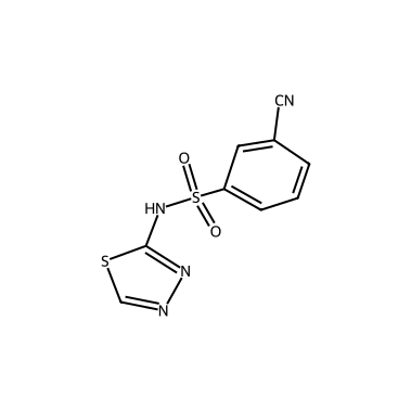 N#Cc1cccc(S(=O)(=O)Nc2nncs2)c1